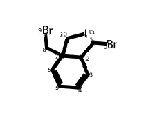 BrCC1C=CC=CC1(CBr)CI